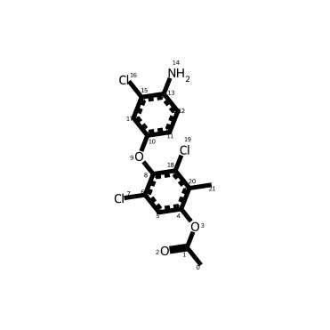 CC(=O)Oc1cc(Cl)c(Oc2ccc(N)c(Cl)c2)c(Cl)c1C